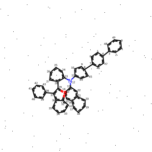 c1ccc(-c2ccc(-c3ccc(N(c4ccc5ccccc5c4)c4ccccc4-c4oc5ccccc5c4-c4ccccc4)cc3)cc2)cc1